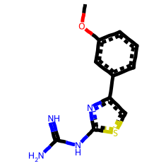 COc1cccc(-c2csc(NC(=N)N)n2)c1